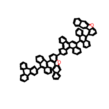 c1ccc2cc3c(cc2c1)oc1cccc(-c2c4ccccc4c(-c4cc5c6ccccc6c6cc(-c7ccc(-c8c9ccccc9c(-c9ccc%10c%11ccccc%11c%11ccccc%11c%10c9)c9ccccc89)c8c7oc7cc9ccccc9cc78)ccc6c5c5ccccc45)c4ccccc24)c13